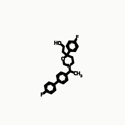 CC(c1ccc(-c2ccc(F)cc2)cc1)N1CCC(CCO)(c2ccc(F)cc2)OC1